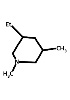 CCC1CC(C)CN(C)C1